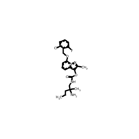 CCCC(C)(N)CNC(=O)Oc1c(C)nn2c(OCc3c(F)cccc3Cl)cccc12